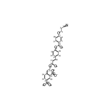 N#CCCOc1ccc(C(=O)Oc2ccc(/C=C/C(=O)OCCc3ccc([N+](=O)[O-])cc3[N+](=O)[O-])cc2)cc1